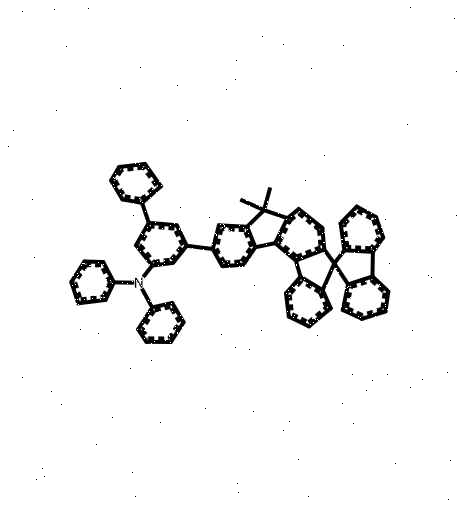 CC1(C)c2cc(-c3cc(-c4ccccc4)cc(N(c4ccccc4)c4ccccc4)c3)ccc2-c2c1ccc1c2-c2ccccc2C12c1ccccc1-c1ccccc12